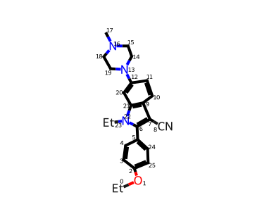 CCOc1ccc(-c2c(C#N)c3ccc(N4CCN(C)CC4)cc3n2CC)cc1